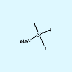 CN[Si](I)(I)I